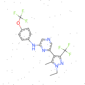 CCn1nc(C(F)(F)F)c(-c2cncc(Nc3ccc(OC(F)(F)F)cc3)n2)c1C